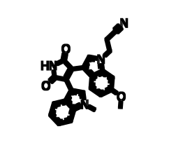 COc1ccc2c(C3=C(c4cn(C)c5ccccc45)C(=O)NC3=O)cn(CCC#N)c2c1